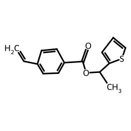 C=Cc1ccc(C(=O)OC(C)c2cccs2)cc1